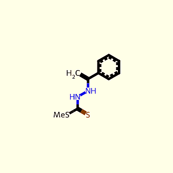 C=C(NNC(=S)SC)c1ccccc1